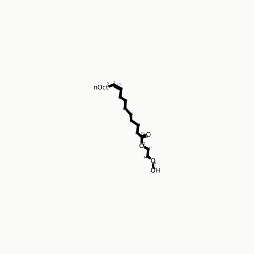 CCCCCCCC/C=C\CCCCCCCC(=O)OCCOO